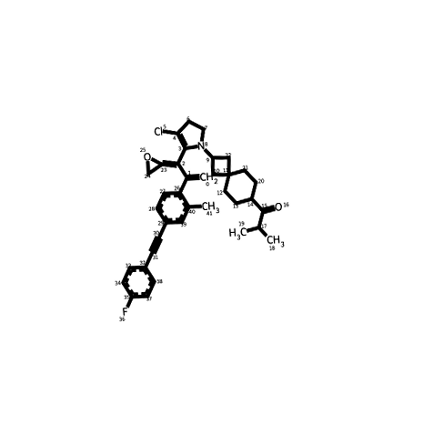 C=C(/C(C1=C(Cl)CCN1C1CC2(CCC(C(=O)C(C)C)CC2)C1)=C1\CO1)c1ccc(C#Cc2ccc(F)cc2)cc1C